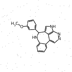 COc1cccc(C2Nc3ccccc3-c3cnnc4[nH]cc2c34)c1